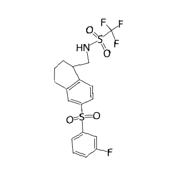 O=S(=O)(c1cccc(F)c1)c1ccc2c(c1)CCCC2CNS(=O)(=O)C(F)(F)F